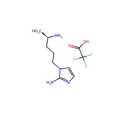 Nc1nccn1CCC[C@H](N)C(=O)O.O=C(O)C(F)(F)F